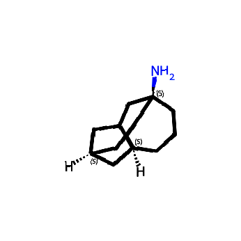 N[C@]12CCC[C@H]3C[C@@H](CC3C1)C2